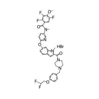 Br.COc1c(F)cc(C(=O)N(C)c2ccc(Oc3ccc4cc(C(=O)N5CCN(Cc6ccc(OCC(F)F)cc6)CC5)n(C)c4c3)nc2)c(F)c1F